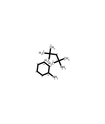 CC(C)(C)CC(C)(C)N.NC1CCCCC1